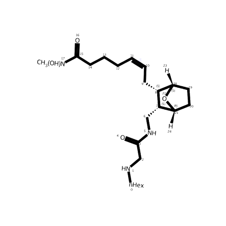 CCCCCCNCC(=O)NC[C@@H]1[C@H](C/C=C\CCCC(=O)N(C)O)[C@@H]2CC[C@H]1O2